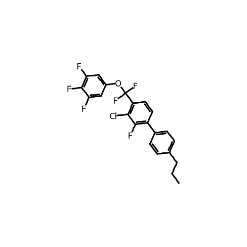 CCCc1ccc(-c2ccc(C(F)(F)Oc3cc(F)c(F)c(F)c3)c(Cl)c2F)cc1